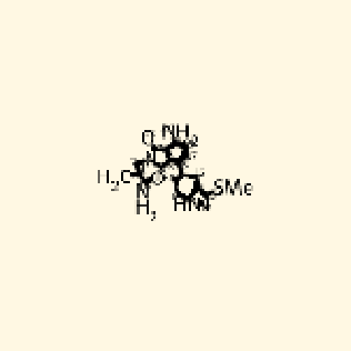 C=C(CN1Cc2c(-c3ccc4[nH]nc(SC)c4c3)ccc(N)c2C1=O)C(N)=O